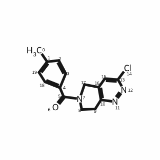 Cc1ccc(C(=O)N2CCc3nnc(Cl)cc3C2)cc1